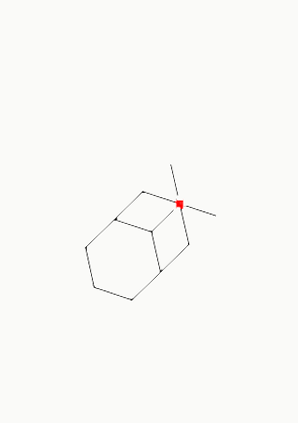 CN(C)C1C2CCCC1CCC2